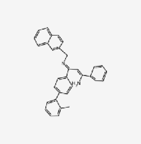 Cc1ccccc1-c1ccc(C(/C=C(\N)c2ccccc2)=N/Cc2ccc3ccccc3c2)cc1